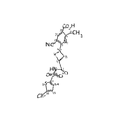 Cc1nc(N2CC(C(=O)NS(=O)(=O)c3ccc(Cl)s3)C2)c(C#N)cc1C(=O)O